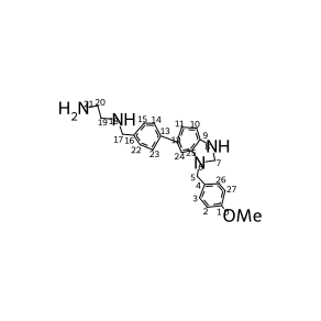 COc1ccc(CN2CNc3ccc(-c4ccc(CNCCN)cc4)cc32)cc1